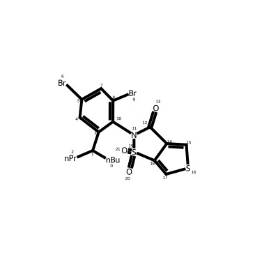 CCCCC(CCC)c1cc(Br)cc(Br)c1N1C(=O)c2cscc2S1(=O)=O